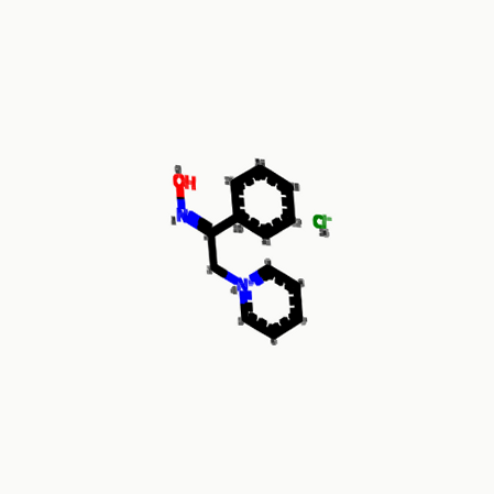 O/N=C(/C[n+]1ccccc1)c1ccccc1.[Cl-]